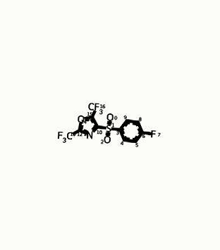 O=S(=O)(c1ccc(F)cc1)c1nc(C(F)(F)F)oc1C(F)(F)F